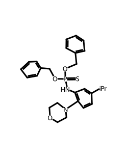 CC(C)c1ccc(N2CCOCC2)c(NP(=S)(OCc2ccccc2)OCc2ccccc2)c1